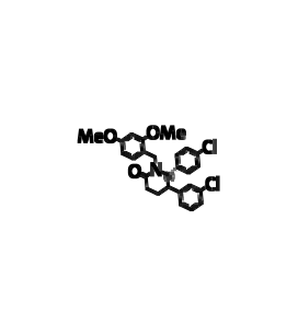 COc1ccc(CN2C(=O)CCC(c3cccc(Cl)c3)[C@H]2c2ccc(Cl)cc2)c(OC)c1